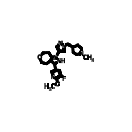 COc1ncc(C2NN(c3cnn(CC4CCN(C)CC4)c3)C3=C2CCOCC3)cc1F